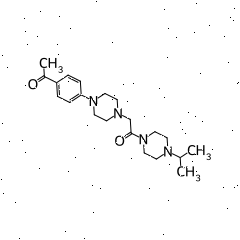 CC(=O)c1ccc(N2CCN(CC(=O)N3CCN(C(C)C)CC3)CC2)cc1